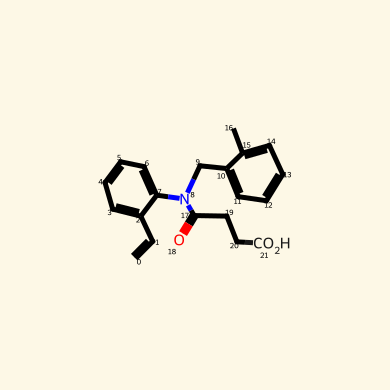 C=Cc1ccccc1N(Cc1ccccc1C)C(=O)CCC(=O)O